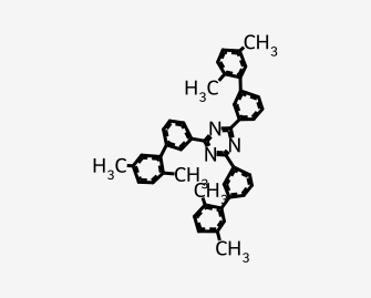 Cc1ccc(C)c(-c2cccc(-c3nc(-c4cccc(-c5cc(C)ccc5C)c4)nc(-c4cccc(-c5cc(C)ccc5C)c4)n3)c2)c1